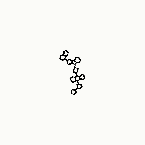 c1ccc(-c2cccc(-c3c4ccccc4c(-c4ccc(-n5c6ccccc6c6cc(-c7cccc8ccccc78)ccc65)cc4)c4ccccc34)c2)cc1